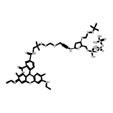 CC/N=C1/C=C2Oc3cc(NCC)c(C)cc3C(c3ccc(C(=O)NCC(C)(C)SSCOCC#CB[C@H]4C[C@@H](OCSSC(C)(C)C)C(COP(=O)(O)OP(=O)(O)OP(=O)(O)O)O4)cc3C(=O)O)C2C=C1C